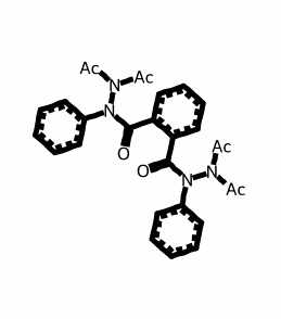 CC(=O)N(C(C)=O)N(C(=O)c1ccccc1C(=O)N(c1ccccc1)N(C(C)=O)C(C)=O)c1ccccc1